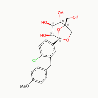 COc1ccc(Cc2cc([C@]34OC[C@](CO)(O3)[C@@H](O)[C@H](O)[C@@H]4O)ccc2Cl)cc1